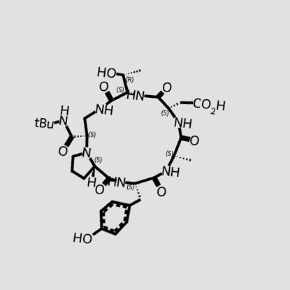 C[C@@H]1NC(=O)[C@H](Cc2ccc(O)cc2)NC(=O)[C@@H]2CCCN2[C@H](C(=O)NC(C)(C)C)CNC(=O)[C@H]([C@@H](C)O)NC(=O)[C@H](CC(=O)O)NC1=O